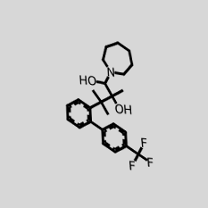 CC(C)(c1ccccc1-c1ccc(C(F)(F)F)cc1)C(C)(O)C(O)N1CCCCCC1